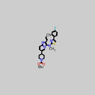 CN(c1nc(-c2ccc(F)cc2)cs1)c1c(/C=C/C#N)nc2ccc(C3CCN(C(=O)OC(C)(C)C)CC3)cn12